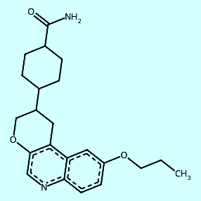 CCCOc1ccc2ncc3c(c2c1)CC(C1CCC(C(N)=O)CC1)CO3